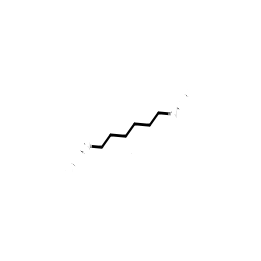 O.O=C=NCCCCCCN=C=O